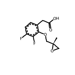 C[C@@]1(COc2c(CC(=O)O)ccc(F)c2F)CO1